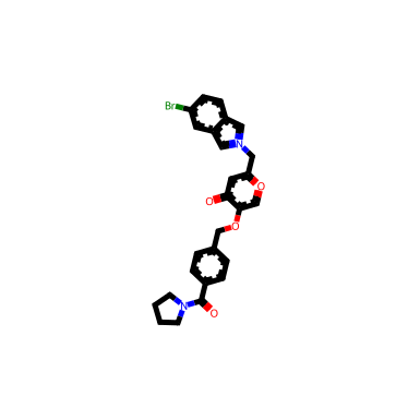 O=C(c1ccc(COc2coc(Cn3cc4ccc(Br)cc4c3)cc2=O)cc1)N1CCCC1